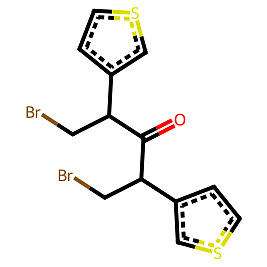 O=C(C(CBr)c1ccsc1)C(CBr)c1ccsc1